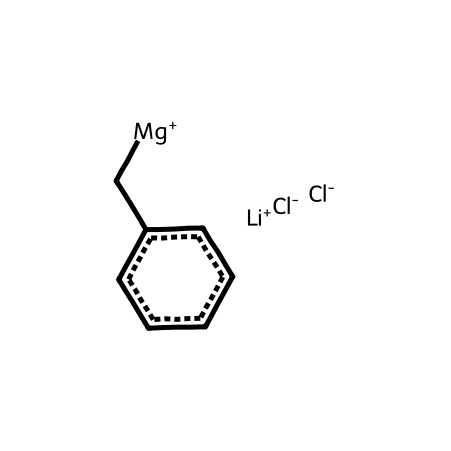 [Cl-].[Cl-].[Li+].[Mg+][CH2]c1ccccc1